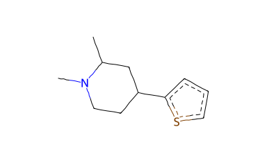 CC1CC(c2cccs2)CCN1C